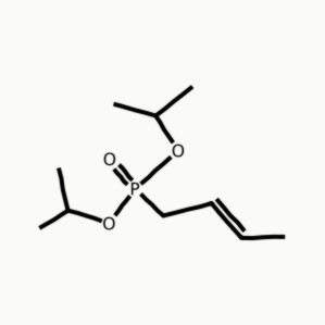 CC=CCP(=O)(OC(C)C)OC(C)C